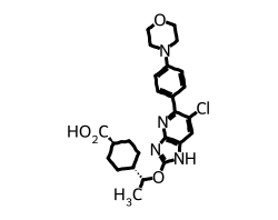 CC(Oc1nc2nc(-c3ccc(N4CCOCC4)cc3)c(Cl)cc2[nH]1)[C@H]1CC[C@H](C(=O)O)CC1